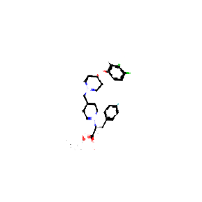 COC(=O)[C@H](Cc1ccc(F)cc1)N1CCC(CN2CCC(Oc3ccc(Cl)c(Cl)c3C)CC2)CC1